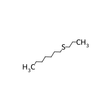 CCCCCCCSCCC